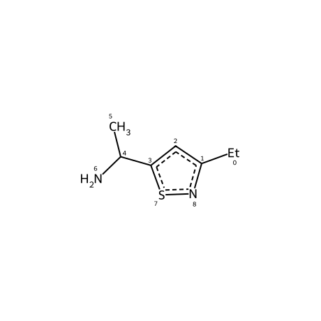 CCc1cc(C(C)N)sn1